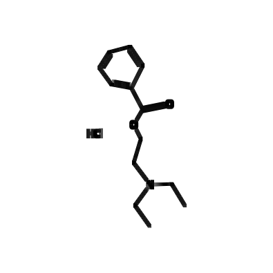 CCN(CC)CCOC(=O)c1ccccc1.Cl